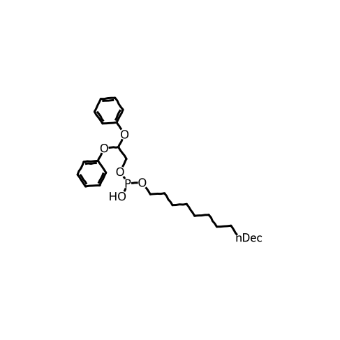 CCCCCCCCCCCCCCCCCCOP(O)OCC(Oc1ccccc1)Oc1ccccc1